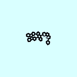 c1ccc(-c2ccc3ccc4ccc(-c5c6ccccc6c(-c6ccc7c(c6)C6(c8ccccc8-c8ccccc86)c6ccccc6-7)c6ccccc56)nc4c3n2)cc1